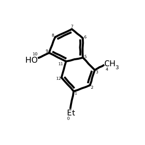 CCc1cc(C)c2cccc(O)c2c1